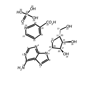 Nc1ncnc2c1ncn2[C@@H]1O[C@H](CO)[C@@H](O)[C@H]1O.O=C(O)c1cccnc1.O=P(O)(O)O